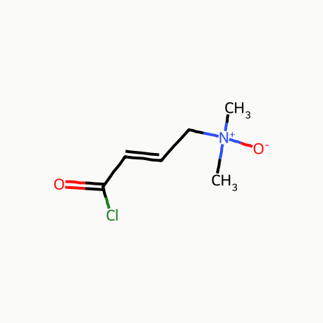 C[N+](C)([O-])C/C=C/C(=O)Cl